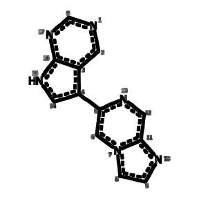 c1ncc2c(-c3cn4ccnc4cn3)c[nH]c2n1